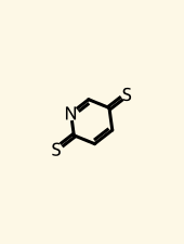 S=C1C=CC(=S)N=C1